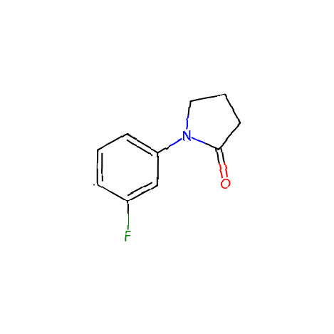 O=C1CCCN1c1cc[c]c(F)c1